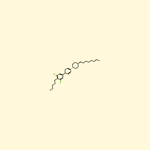 CCCCCCCC[C@H]1CC[C@H](C2=CCC(c3cc(F)c(CCCCC)c(F)c3)C=C2)CC1